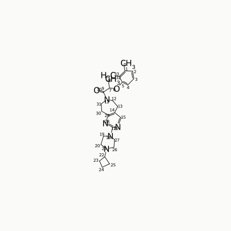 Cc1cccc(OC(C)C(=O)N2CCc3cnc(N4CCN(C5CCC5)CC4)nc3CC2)c1C